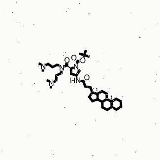 CN(C)CCCN(CCCN(C)C)C(=O)[C@@H]1C[C@H](NC(=O)CCC2CCC3C4CCC5CCCC[C@]5(C)C4CC[C@]23C)CN1C(=O)OC(C)(C)C